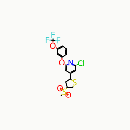 CS(=O)(=O)C1CSC(c2cc(Cl)nc(Oc3cccc(OC(F)(F)F)c3)c2)C1